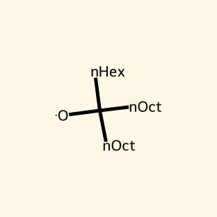 CCCCCCCCC([O])(CCCCCC)CCCCCCCC